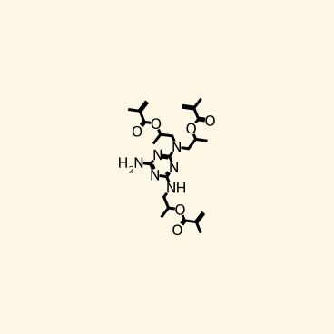 C=C(C)C(=O)OC(C)CNc1nc(N)nc(N(CC(C)OC(=O)C(=C)C)CC(C)OC(=O)C(=C)C)n1